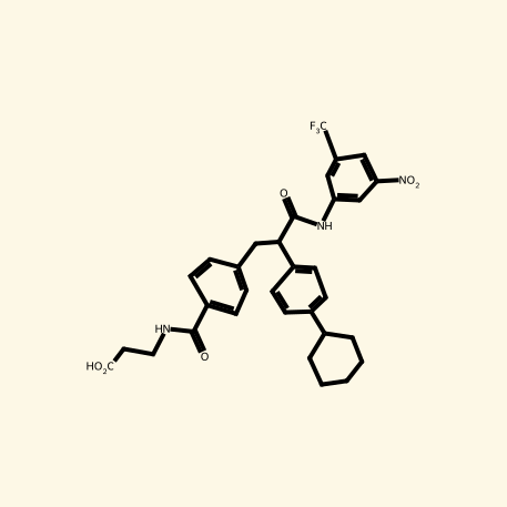 O=C(O)CCNC(=O)c1ccc(CC(C(=O)Nc2cc([N+](=O)[O-])cc(C(F)(F)F)c2)c2ccc(C3CCCCC3)cc2)cc1